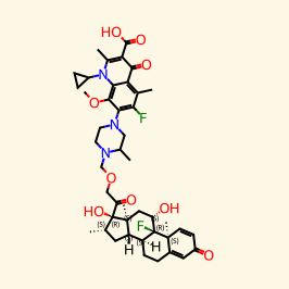 COc1c(N2CCN(COCC(=O)[C@@]3(O)[C@@H](C)C[C@H]4[C@@H]5CCC6=CC(=O)C=C[C@]6(C)[C@@]5(F)[C@@H](O)C[C@@]43C)C(C)C2)c(F)c(C)c2c(=O)c(C(=O)O)c(C)n(C3CC3)c12